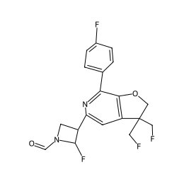 O=CN1CC(c2cc3c(c(-c4ccc(F)cc4)n2)OCC3(CF)CF)C1F